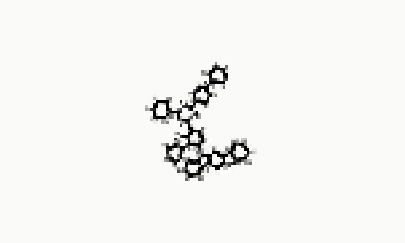 c1ccc(-c2ccc(-c3nc(-c4ccccc4)nc(-c4ccc(-n5c6ccccc6c6cc7sc8ccccc8c7cc65)c5c4oc4ccccc45)n3)cc2)cc1